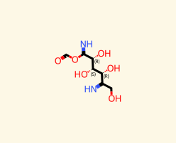 N=C(CO)[C@@H](O)[C@H](O)[C@@H](O)C(=N)OC=O